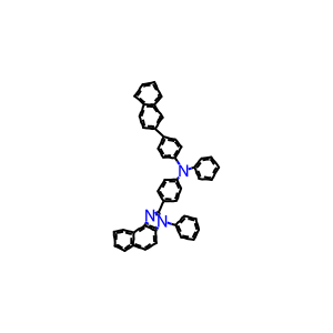 c1ccc(N(c2ccc(-c3ccc4ccccc4c3)cc2)c2ccc(-c3nc4c5ccccc5ccc4n3-c3ccccc3)cc2)cc1